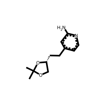 CC1(C)OC[C@@H](CCc2ccnc(N)c2)O1